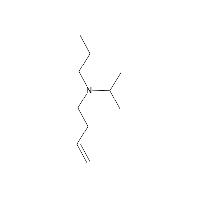 C=CCCN(CCC)C(C)C